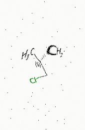 [CH2][C@@H](C)CCl